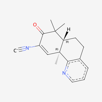 [C-]#[N+]C1=C[C@]2(C)c3ncccc3CC[C@H]2C(C)(C)C1=O